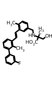 Cc1ccc(CNC(C)(CO)C(=O)O)cc1/C=C/c1cccc(-c2cccc(F)c2)c1C